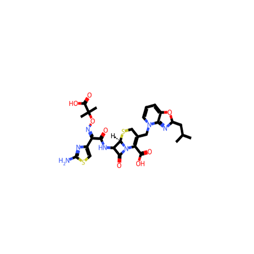 CC(C)CC1N=C2C(=CC=CN2CC2=C(C(=O)O)N3C(=O)C(NC(=O)/C(=N\OC(C)(C)C(=O)O)c4csc(N)n4)[C@H]3SC2)O1